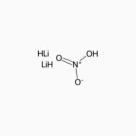 O=[N+]([O-])O.[LiH].[LiH]